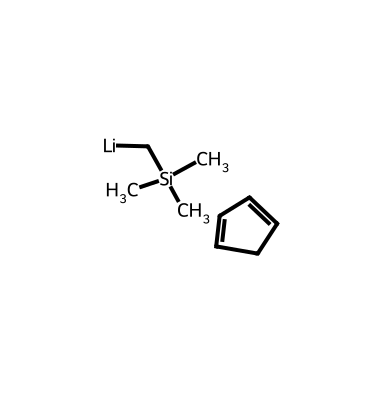 C1=CCC=C1.[Li][CH2][Si](C)(C)C